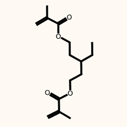 C=C(C)C(=O)OCCC(CC)CCOC(=O)C(=C)C